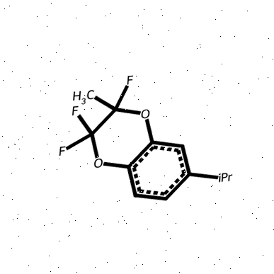 CC(C)c1ccc2c(c1)OC(C)(F)C(F)(F)O2